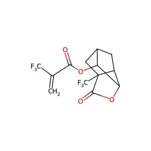 C=C(C(=O)OC1C2CC3C1OC(=O)C3(C(F)(F)F)C2)C(F)(F)F